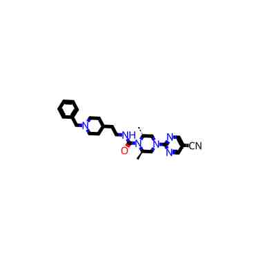 C[C@@H]1CN(c2ncc(C#N)cn2)C[C@@H](C)N1C(=O)NCCC1CCN(Cc2ccccc2)CC1